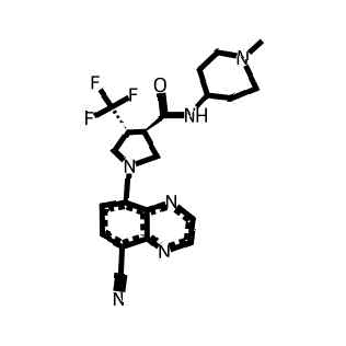 CN1CCC(NC(=O)[C@H]2CN(c3ccc(C#N)c4nccnc34)C[C@@H]2C(F)(F)F)CC1